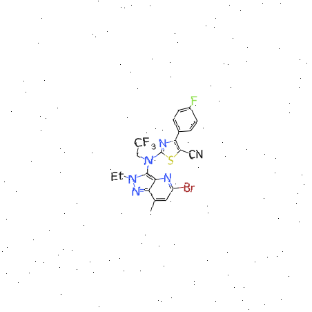 CCn1nc2c(C)cc(Br)nc2c1N(CC(F)(F)F)c1nc(-c2ccc(F)cc2)c(C#N)s1